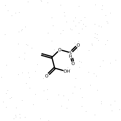 C=C(O[SH](=O)=O)C(=O)O